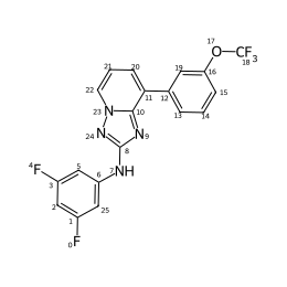 Fc1cc(F)cc(Nc2nc3c(-c4cccc(OC(F)(F)F)c4)cccn3n2)c1